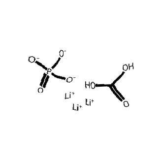 O=C(O)O.O=P([O-])([O-])[O-].[Li+].[Li+].[Li+]